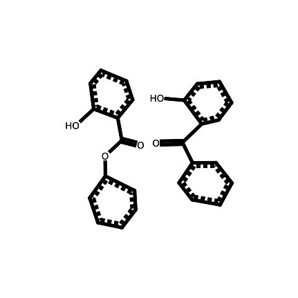 O=C(Oc1ccccc1)c1ccccc1O.O=C(c1ccccc1)c1ccccc1O